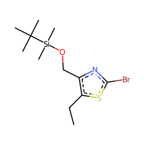 CCc1sc(Br)nc1CO[Si](C)(C)C(C)(C)C